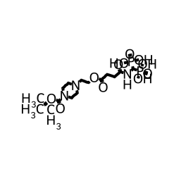 CC(C)(C)OC(=O)N1CCN(CCOC(=O)CCC(=O)NC(P(=O)(O)O)P(=O)(O)O)CC1